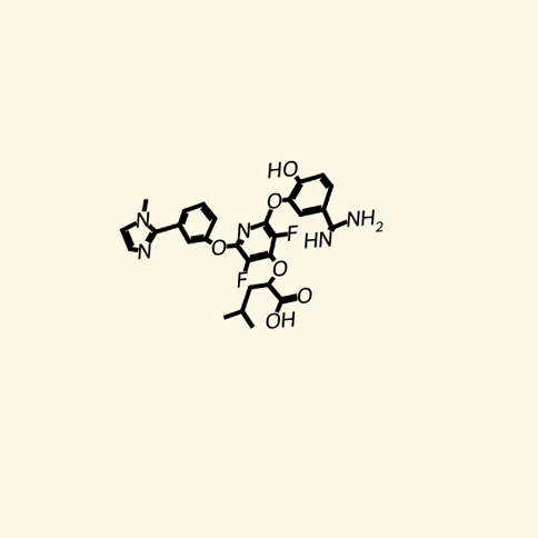 CC(C)CC(Oc1c(F)c(Oc2cccc(-c3nccn3C)c2)nc(Oc2cc(C(=N)N)ccc2O)c1F)C(=O)O